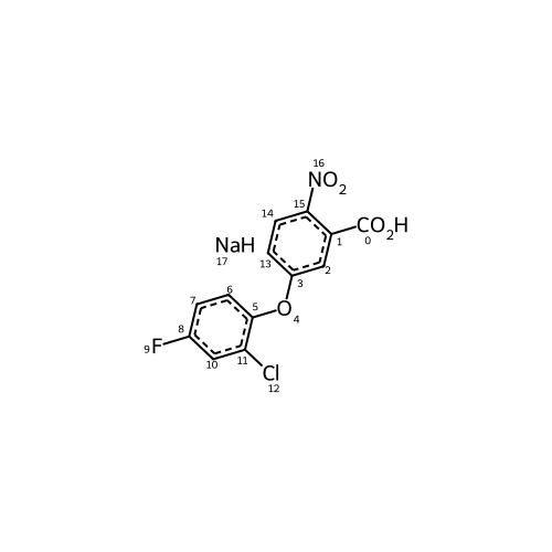 O=C(O)c1cc(Oc2ccc(F)cc2Cl)ccc1[N+](=O)[O-].[NaH]